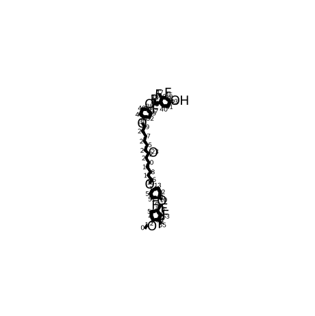 CCOc1ccc(C(F)(F)Oc2ccc(OCCCCCCC(=O)CCCCCCOc3ccc(OC(F)(F)c4ccc(O)c(F)c4F)cc3)cc2)c(F)c1F